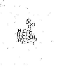 C=C(OCCOC(=O)c1ccco1)C(C(C)C(C)(C)C)C(C)(C)C